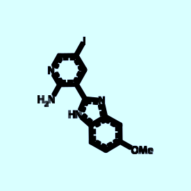 COc1ccc2[nH]c(-c3cc(I)cnc3N)nc2c1